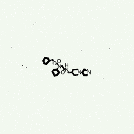 O=C(CN(C(=O)OCc1ccccc1)c1ccccc1)NCC1CCN(c2ccncc2)CC1